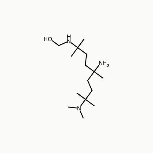 CN(C)C(C)(C)CCC(C)(N)CCC(C)(C)NCO